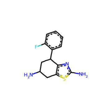 Nc1nc2c(s1)CC(N)CC2c1ccccc1F